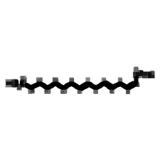 CCCCC/C=C\CC=CCC=CCCCCCCC(=O)O